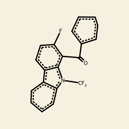 O=C(c1ccccc1)c1c(F)ccc2c3ccccc3n(C(F)(F)F)c12